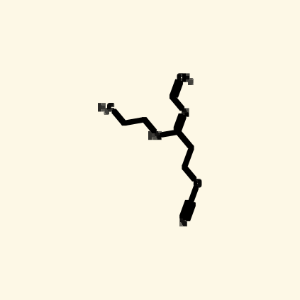 C=C/N=C(/CCOC#N)NCCC